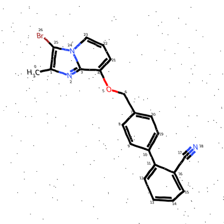 Cc1nc2c(OCc3ccc(-c4ccccc4C#N)cc3)cccn2c1Br